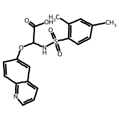 Cc1ccc(S(=O)(=O)NC(Oc2ccc3ncccc3c2)C(=O)O)c(C)c1